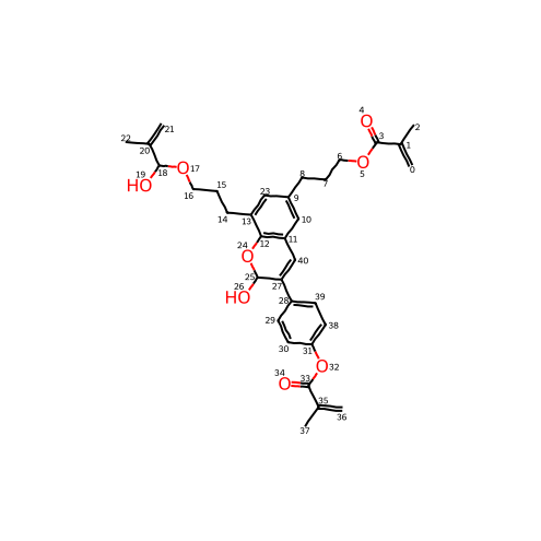 C=C(C)C(=O)OCCCc1cc2c(c(CCCOC(O)C(=C)C)c1)OC(O)C(c1ccc(OC(=O)C(=C)C)cc1)=C2